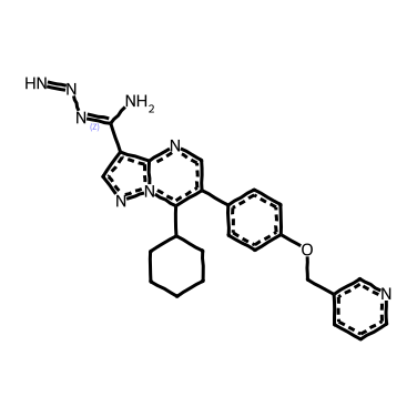 N=N/N=C(\N)c1cnn2c(C3CCCCC3)c(-c3ccc(OCc4cccnc4)cc3)cnc12